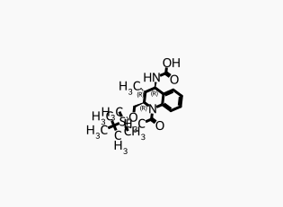 CC(=O)N1c2ccccc2[C@H](NC(=O)O)[C@@H](C)[C@@H]1CO[Si](C)(C)C(C)(C)C